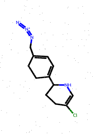 [N-]=[N+]=NCC1=CC=C(C2CCC(Cl)=CN2)CC1